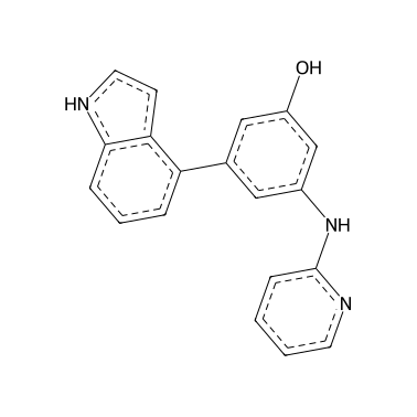 Oc1cc(Nc2ccccn2)cc(-c2cccc3[nH]ccc23)c1